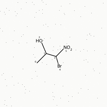 CC(O)C(Br)[N+](=O)[O-]